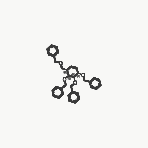 C1=C[C@H](OCc2ccccc2)[C@@H](OCc2ccccc2)[C@@H](OCc2ccccc2)[C@H]1COCc1ccccc1